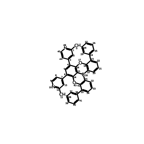 Cc1cc(-c2cc(-c3ccnc(C)c3)c3c4c2Oc2c(cccc2-c2ccccc2)B4c2cccc(-c4ccccc4)c2O3)ccn1